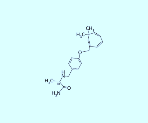 C[C@H](NCc1ccc(OCC2=CC(C)(C)C=CC=C2)cc1)C(N)=O